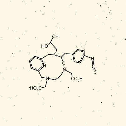 O=C(O)CN1CCN(CC(=O)O)CC(Cc2ccc(N=C=S)cc2)N(CC(O)O)Cc2cccc(n2)C1